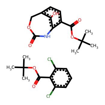 CC(C)(C)OC(=O)c1c(Cl)cccc1Cl.CC(C)(C)OC(=O)c1ccc2c(O)c1NC(=O)OC2